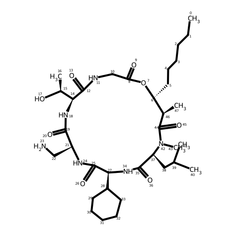 CCCCCC[C@H]1OC(=O)CNC(=O)[C@H]([C@H](C)O)NC(=O)[C@H](CN)NC(=O)[C@H](C2CCCCC2)NC(=O)[C@H](CC(C)C)N(C)C(=O)[C@@H]1C